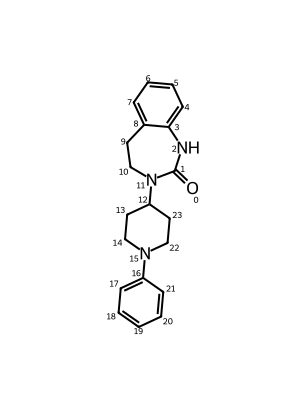 O=C1Nc2ccccc2CCN1C1CCN(c2ccccc2)CC1